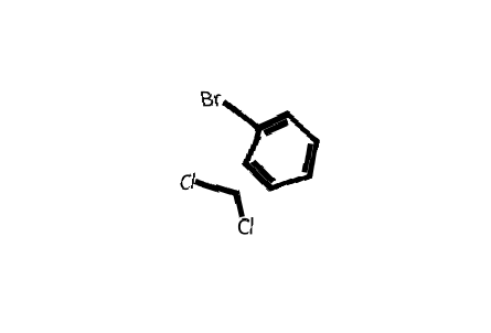 Brc1ccccc1.ClCCl